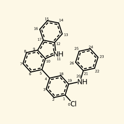 Clc1ccc(-c2cccc3c2[nH]c2ccccc23)cc1Nc1ccccc1